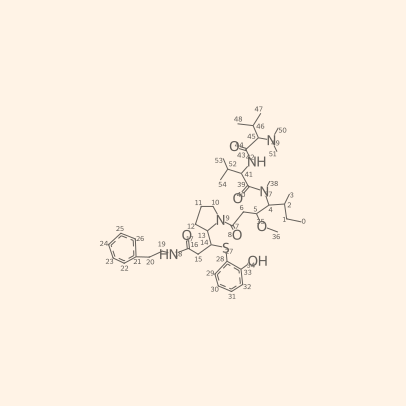 CCC(C)C(C(CC(=O)N1CCCC1C(CC(=O)NCCc1ccccc1)Sc1ccccc1O)OC)N(C)C(=O)C(NC(=O)C(C(C)C)N(C)C)C(C)C